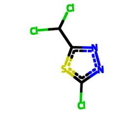 Clc1nnc(C(Cl)Cl)s1